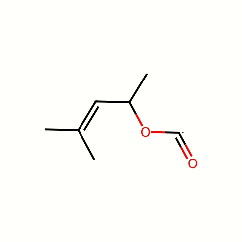 CC(C)=CC(C)O[C]=O